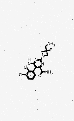 Cc1nc(N2CC(F)(CN)C2)nc(C(N)=O)c1-c1cccc(Cl)c1Cl